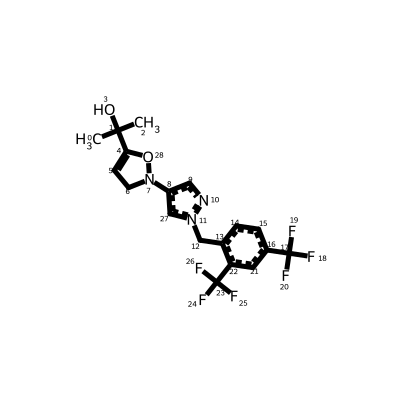 CC(C)(O)C1=CCN(c2cnn(Cc3ccc(C(F)(F)F)cc3C(F)(F)F)c2)O1